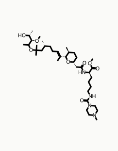 COC(=O)[C@@H](CCCCNC(=O)N1CCN(C)CC1)NC(=O)C[C@H]1CC[C@H](C)[C@@H](/C(C)=C/CC[C@@H](C)CC(C)(C)OC(C)[C@@H](OC)[C@@H](C)O)O1